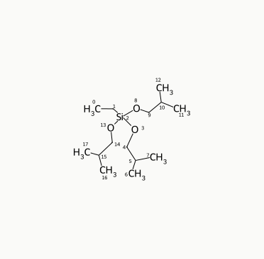 CC[Si](OCC(C)C)(OCC(C)C)OCC(C)C